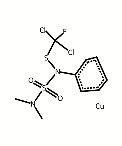 CN(C)S(=O)(=O)N(SC(F)(Cl)Cl)c1ccccc1.[Cu]